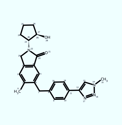 Cc1cc2c(cc1Cc1ccc(-c3cn(C)nn3)cc1)C(=O)N([C@@H]1CCC[C@H]1O)C2